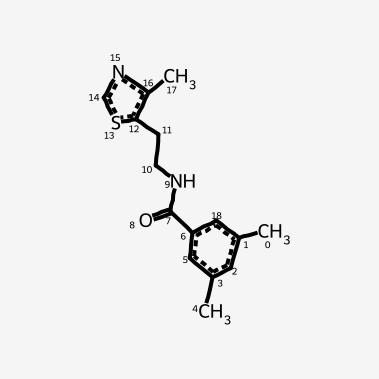 Cc1cc(C)cc(C(=O)NCCc2scnc2C)c1